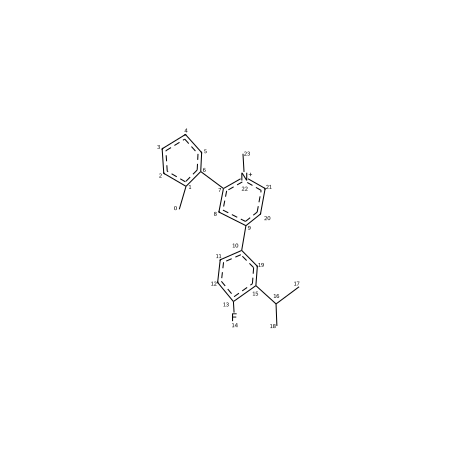 Cc1ccccc1-c1cc(-c2ccc(F)c(C(C)C)c2)cc[n+]1C